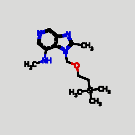 CNc1cncc2nc(C)n(COCC[Si](C)(C)C)c12